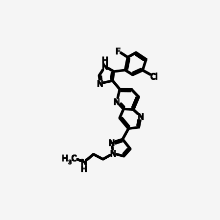 CNCCn1ccc(-c2cnc3ccc(-c4nc[nH]c4-c4cc(Cl)ccc4F)nc3c2)n1